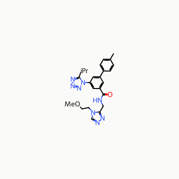 COCCn1cnnc1CNC(=O)c1cc(-c2ccc(C)cc2)cc(-n2nnnc2C(C)C)c1